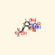 O=C1CN(c2c(O)ccc(C#CC3(O)COC3)c2F)S(=O)(=O)N1